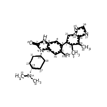 Cc1c(-c2cc3[nH]c(=O)n([C@H]4CC[C@@H](N(C)C)CC4)c3cc2C(C)C)cn2ncnc2c1C